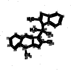 CC1=Cc2ccccc2C1[Si](C)(C)C1=C(C)C=C2C1=Cc1ccccc1[C@H]2C